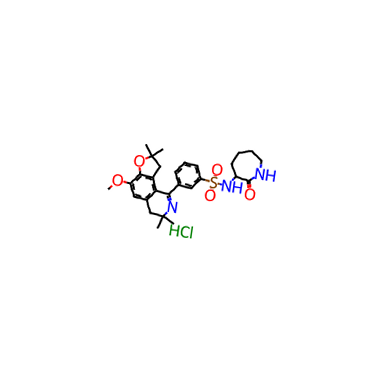 COc1cc2c(c3c1OC(C)(C)C3)C(c1cccc(S(=O)(=O)NC3CCCCNC3=O)c1)=NC(C)(C)C2.Cl